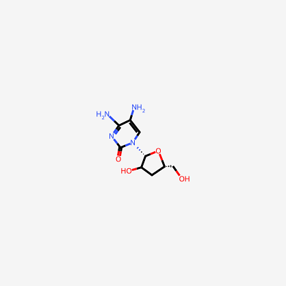 Nc1cn([C@@H]2O[C@H](CO)CC2O)c(=O)nc1N